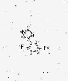 Fc1ccc(F)c(-c2[c]ncs2)c1